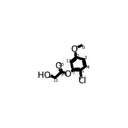 COc1ccc(Cl)c(OC(=O)CO)c1